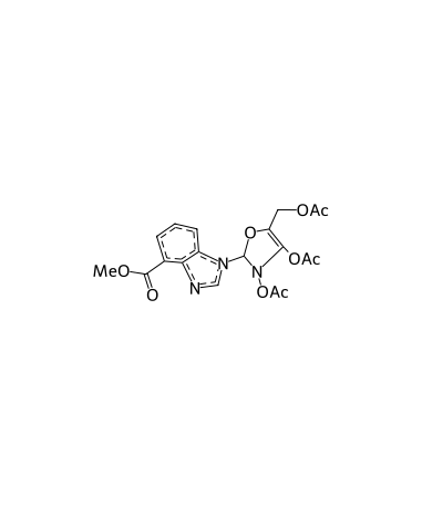 COC(=O)c1cccc2c1ncn2C1OC(COC(C)=O)=C(OC(C)=O)N1OC(C)=O